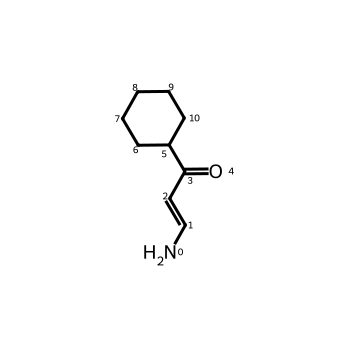 NC=CC(=O)C1CCCCC1